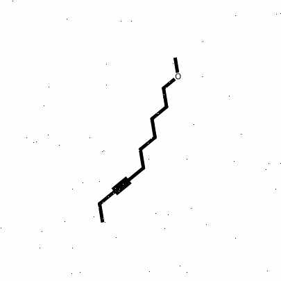 [CH2]CC#CCCCCCCOC